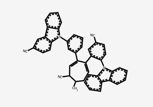 CC1CC=C(c2cc(C#N)ccc2-n2c3ccccc3c3ccccc32)C(c2cccc(-n3c4ccccc4c4cc(C#N)ccc43)c2)=CC1C#N